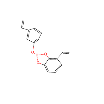 C=Cc1cccc(OB2Oc3cccc(C=C)c3O2)c1